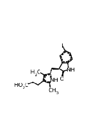 Cc1[nH]c(/C=C2\C(=O)Nc3ccc(I)cc32)c(C)c1CCC(=O)O